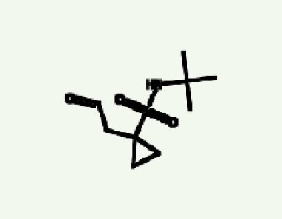 CC(C)(C)NS(=O)(=O)C1(CC=O)CC1